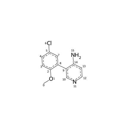 COc1ccc(Cl)cc1-c1cnccc1N